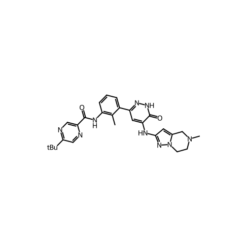 Cc1c(NC(=O)c2cnc(C(C)(C)C)cn2)cccc1-c1cc(Nc2cc3n(n2)CCN(C)C3)c(=O)[nH]n1